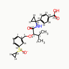 CC(C)[C@@H](OCc1cccc([S+]([O-])C2CC2)c1)C(=O)NC1(c2ccc(C(=O)O)cc2)CC1